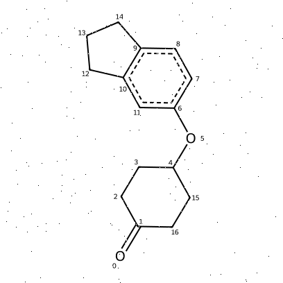 O=C1CCC(Oc2ccc3c(c2)CCC3)CC1